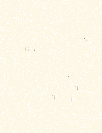 Nc1c([N+](=O)[O-])c2nnnn2c2cnccc12